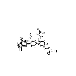 CCOc1cc(-c2cc(/C=C/C(=O)O)ccc2OCCN(C)C)ccc1-c1nc2[nH]nnc2c(=O)[nH]1